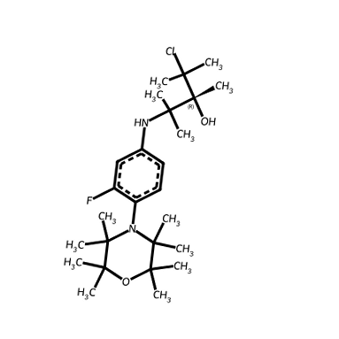 CC1(C)OC(C)(C)C(C)(C)N(c2ccc(NC(C)(C)[C@@](C)(O)C(C)(C)Cl)cc2F)C1(C)C